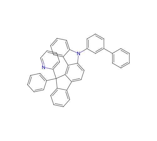 c1ccc(-c2cccc(-n3c4ccccc4c4c5c(ccc43)-c3ccccc3C5(c3ccccc3)c3ccccn3)c2)cc1